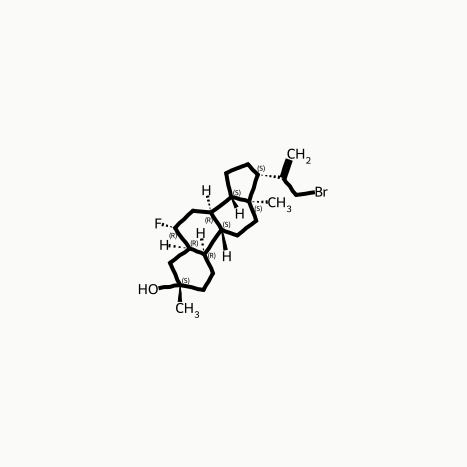 C=C(CBr)[C@H]1CC[C@H]2[C@@H]3C[C@@H](F)[C@@H]4C[C@@](C)(O)CC[C@@H]4[C@H]3CC[C@]12C